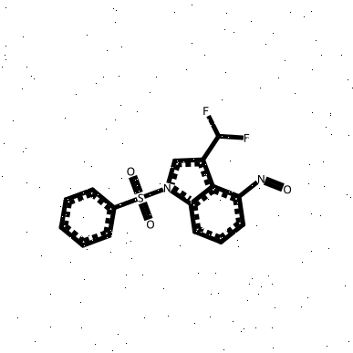 O=Nc1cccc2c1c(C(F)F)cn2S(=O)(=O)c1ccccc1